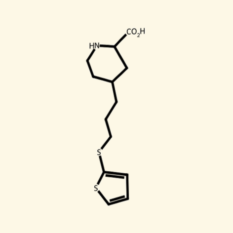 O=C(O)C1CC(CCCSc2cccs2)CCN1